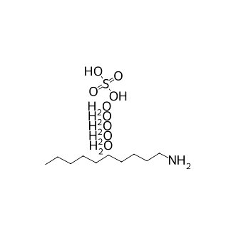 CCCCCCCCCCN.O.O.O.O.O.O=S(=O)(O)O